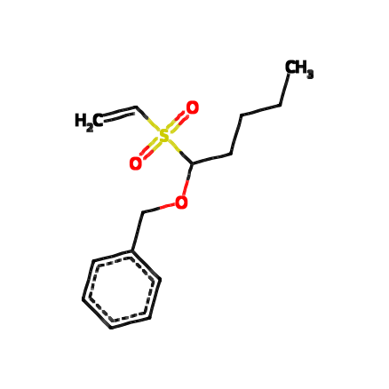 C=CS(=O)(=O)C(CCCC)OCc1ccccc1